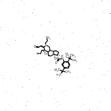 CCCN1CC2C(CC[C@@]3(C)C2CC[C@@H]3C(=O)Nc2cc(C(C)(C)C)ccc2C(C)(C)C)[C@@](C)(CCI)/C1=C\C=O